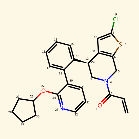 C=CC(=O)N1Cc2sc(Cl)cc2[C@H](c2ccccc2-c2cccnc2OC2CCCC2)C1